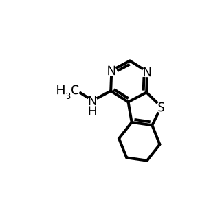 CNc1ncnc2sc3c(c12)CCCC3